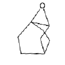 C1CC23CCC1CC2O3